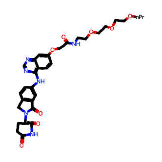 CCCOCCOCCOCCNC(=O)COc1ccc2c(Nc3ccc4c(c3)C(=O)N(C3CCC(=O)NC3=O)C4)ncnc2c1